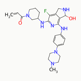 C=CC(=O)N1CCCC(Nc2nc(Nc3ccc(N4CCN(C)CC4)cc3)c3c(c2F)CNC3O)C1